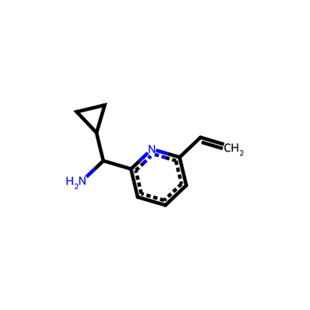 C=Cc1cccc(C(N)C2CC2)n1